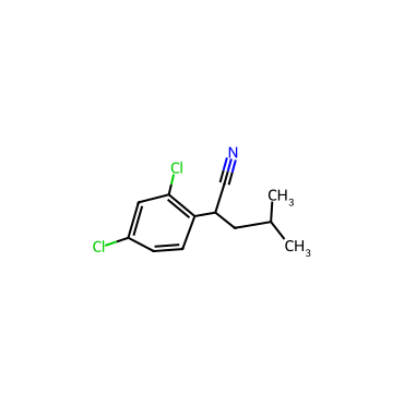 CC(C)CC(C#N)c1ccc(Cl)cc1Cl